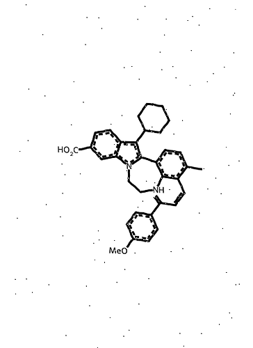 C=C(/C=C\c1c(C)ccc2c1NCCn1c-2c(C2CCCCC2)c2ccc(C(=O)O)cc21)c1ccc(OC)cc1